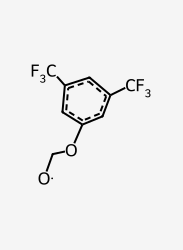 [O]COc1cc(C(F)(F)F)cc(C(F)(F)F)c1